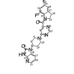 O=C(c1cc(N2CCC(n3c(=O)[nH]c4ncccc43)CC2)ncn1)N1CCc2cc(F)cc(F)c21